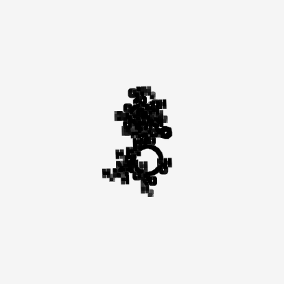 CC[C@H](C)[C@H](NC(=O)[C@H](CCC(N)=O)NC(=O)[C@H](CO)NC(=O)[C@@H](NC(=O)[C@@H](N)Cc1ccccc1)[C@@H](C)CC)C(=O)N[C@H](C(=O)N[C@@H](CO)C(=O)N[C@H]1CCCCCNC(=O)CC[C@@H](C(N)=O)NC(=O)[C@H](CCNC(=N)N)NC(=O)[C@H](C)NC1=O)[C@@H](C)CC